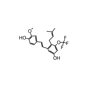 COc1cc(C=Cc2cc(O)cc(OC(F)(F)F)c2CC=C(C)C)ccc1O